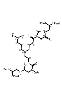 CCCCCC(CCCCC)COC(=O)CN(CCC)C(=O)OCCN(CCCN(CC)CC)CCOC(=O)N(CCC)CC(=O)OCC(CCCCC)CCCCC